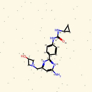 Nc1cc(CN2CC(O)C2)nc(-c2ccc(NC(=O)NC3CC3)cc2)n1